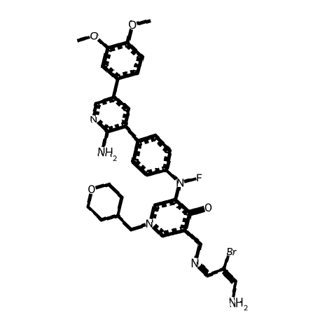 COc1ccc(-c2cnc(N)c(-c3ccc(N(F)c4cn(CC5CCOCC5)cc(C/N=C\C(Br)=C/N)c4=O)cc3)c2)cc1OC